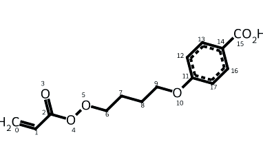 C=CC(=O)OOCCCCOc1ccc(C(=O)O)cc1